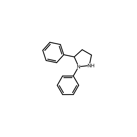 c1ccc(C2CCNN2c2ccccc2)cc1